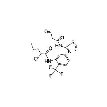 CCCC(Cl)C(=O)Nc1ccccc1C(F)(F)F.O=CCC(=O)Nc1nccs1